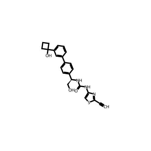 C#Cc1nc(NC(=O)N[C@@H](CO)c2ccc(-c3cccc(C4(O)CCC4)c3)cc2)cs1